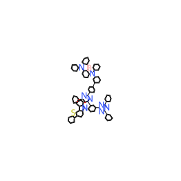 c1ccc(-c2cc(-c3cc(-c4nc(-c5ccccc5)nc(-c5ccccc5)n4)ccc3-n3c4ccccc4c4c5sc6ccccc6c5ccc43)nc(-c3ccc(-c4cccc(N5c6ccccc6B6c7ccccc7N(c7ccccc7)c7cccc5c76)c4)cc3)n2)cc1